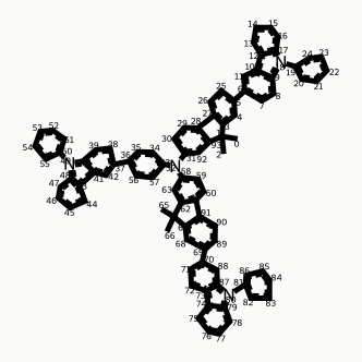 CC1(C)c2cc(-c3ccc4c(c3)c3ccccc3n4-c3ccccc3)ccc2-c2ccc(N(c3ccc(-c4ccc5c(c4)c4ccccc4n5-c4ccccc4)cc3)c3ccc4c(c3)C(C)(C)c3cc(-c5ccc6c7ccccc7n(-c7ccccc7)c6c5)ccc3-4)cc21